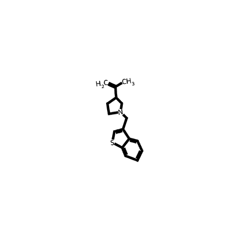 C=C(C)C1CCN(Cc2csc3ccccc23)C1